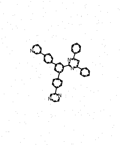 c1ccc(-c2cc(-c3ccccc3)nc(-c3cc(-c4ccc(-c5cccnc5)cc4)cc(-c4ccc(-c5cnccn5)cc4)c3)n2)cc1